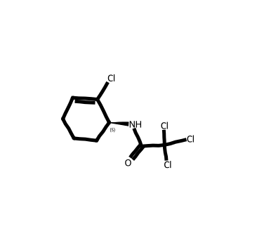 O=C(N[C@H]1CCCC=C1Cl)C(Cl)(Cl)Cl